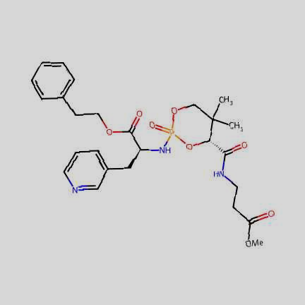 COC(=O)CCNC(=O)[C@@H]1OP(=O)(N[C@@H](Cc2cccnc2)C(=O)OCCc2ccccc2)OCC1(C)C